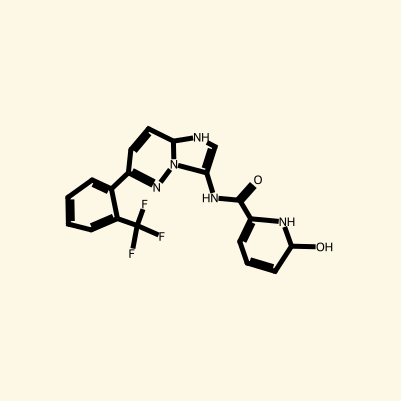 O=C(NC1=CNC2C=CC(c3ccccc3C(F)(F)F)=NN12)C1=CC=CC(O)N1